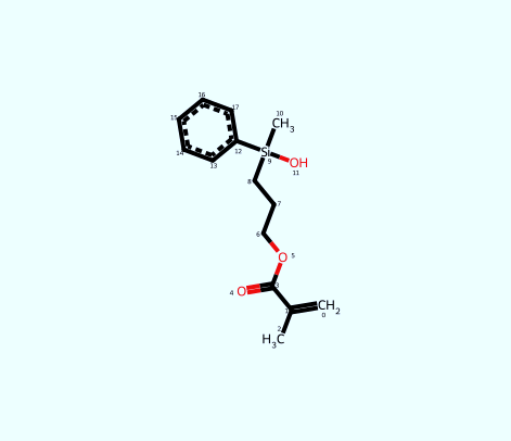 C=C(C)C(=O)OCCC[Si](C)(O)c1ccccc1